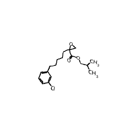 CC(C)COC(=O)C1(CCCCCc2cccc(Cl)c2)CO1